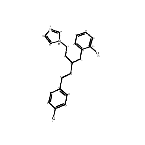 Clc1ccc(CCC(CCn2ccnc2)Cc2ccccc2Cl)cc1